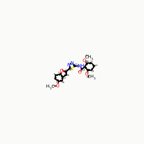 COc1ccc2oc(-c3nnc(NC(=O)c4c(OC)cccc4OC)s3)cc2c1